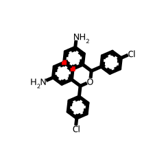 Nc1cccc(C(OC(c2ccc(Cl)cc2)c2cccc(N)c2)c2ccc(Cl)cc2)c1